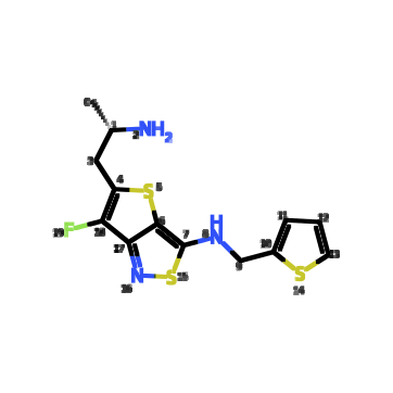 C[C@H](N)Cc1sc2c(NCc3cccs3)snc2c1F